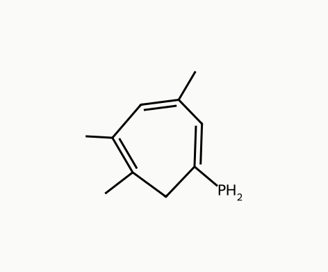 CC1=CC(C)=C(C)CC(P)=C1